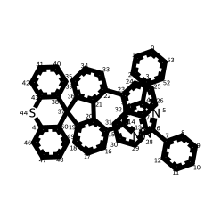 c1ccc(-c2nc(-c3ccccc3)nc(-c3cccc4c3-c3c(-c5cccc6ncccc56)cccc3C43c4ccccc4Sc4ccccc43)n2)cc1